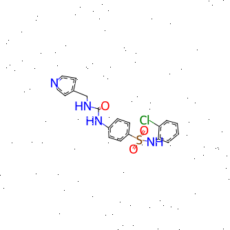 O=C(NCc1ccncc1)Nc1ccc(S(=O)(=O)Nc2ccccc2Cl)cc1